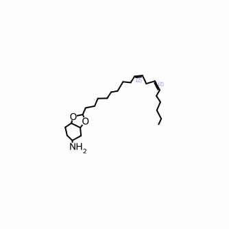 CCCCC/C=C\C/C=C\CCCCCCCCC1OC2CCC(N)CC2O1